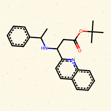 CC(NC(CC(=O)OC(C)(C)C)c1ccc2ccccc2n1)c1ccccc1